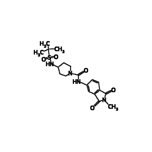 CN1C(=O)c2ccc(NC(=O)N3CCC(NS(=O)(=O)C(C)(C)C)CC3)cc2C1=O